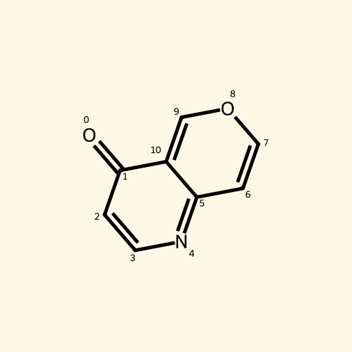 O=c1ccnc2ccocc1-2